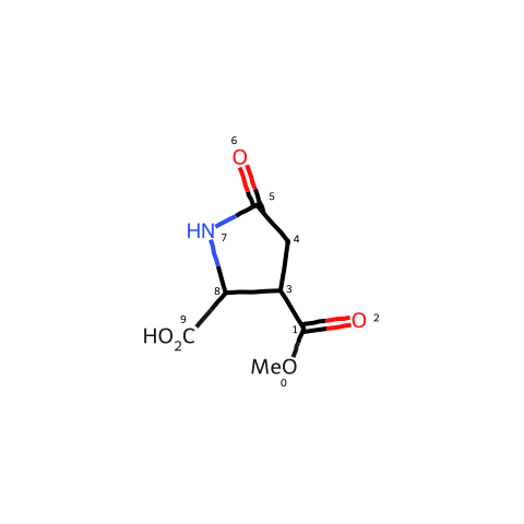 COC(=O)C1CC(=O)NC1C(=O)O